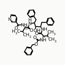 CC(C)[C@H](NC(=O)OCc1ccccc1)C(=O)NC(Cc1ccccc1)C(O)C(Cc1ccccc1)NC(=O)[C@@H](NC(=O)c1cccnc1)C(C)C